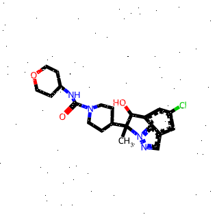 CC1(C2CCN(C(=O)NC3CCOCC3)CC2)C(O)c2cc(Cl)cc3cnn1c23